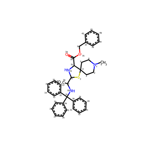 CN1CCC2(CC1)SC(C(NC(c1ccccc1)(c1ccccc1)c1ccccc1)C(=O)O)NC2C(=O)OCc1ccccc1